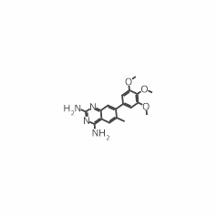 COc1cc(-c2cc3nc(N)nc(N)c3cc2C)cc(OC)c1OC